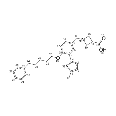 Cc1ccc(-c2cc(CN3CC(C(=O)O)C3)ccc2OCCCCCc2ccccc2)s1